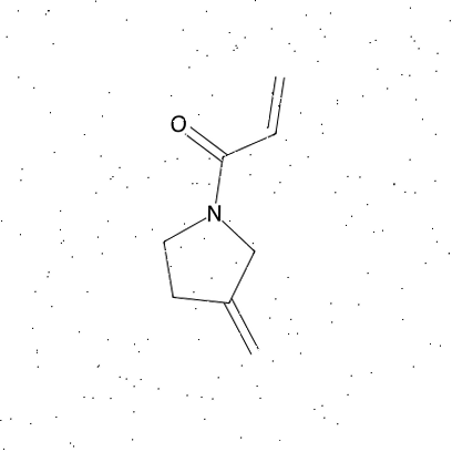 C=CC(=O)N1CCC(=C)C1